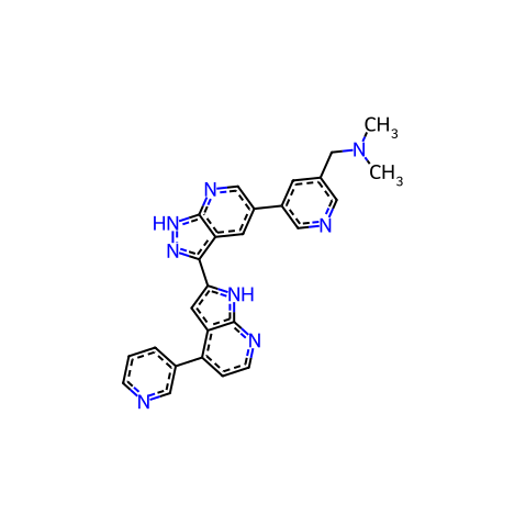 CN(C)Cc1cncc(-c2cnc3[nH]nc(-c4cc5c(-c6cccnc6)ccnc5[nH]4)c3c2)c1